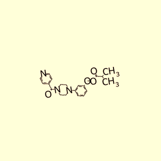 CC(C)C(=O)OOc1cccc(N2CCN(C(=O)c3ccncc3)CC2)c1